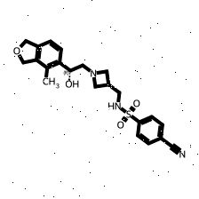 Cc1c([C@@H](O)CN2CC(CNS(=O)(=O)c3ccc(C#N)cc3)C2)ccc2c1COC2